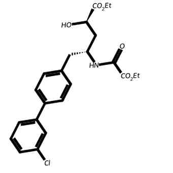 CCOC(=O)C(=O)N[C@H](Cc1ccc(-c2cccc(Cl)c2)cc1)C[C@@H](O)C(=O)OCC